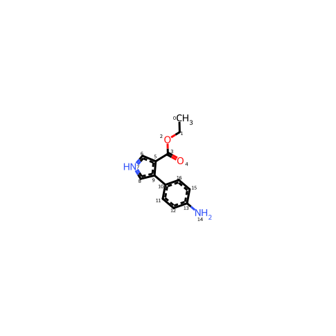 CCOC(=O)c1c[nH]cc1-c1ccc(N)cc1